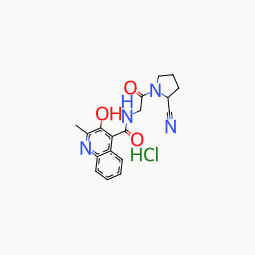 Cc1nc2ccccc2c(C(=O)NCC(=O)N2CCCC2C#N)c1O.Cl